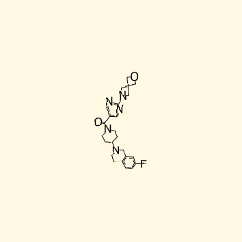 O=C(c1cnc(N2CC3(COC3)C2)nc1)N1CCC(N2CCc3ccc(F)cc3C2)CC1